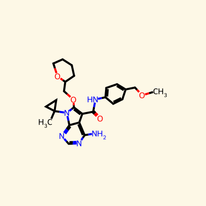 COCc1ccc(NC(=O)c2c(OCC3CCCCO3)n(C3(C)CC3)c3ncnc(N)c23)cc1